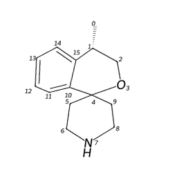 C[C@@H]1COC2(CCNCC2)c2ccccc21